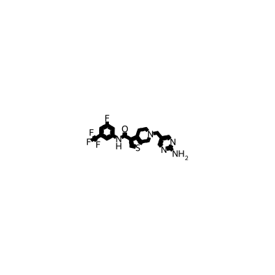 Nc1ncc(CN2CCc3c(C(=O)Nc4cc(F)cc(C(F)(F)F)c4)csc3C2)cn1